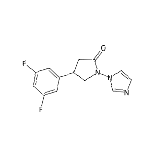 O=C1CC(c2cc(F)cc(F)c2)CN1n1ccnc1